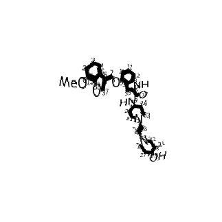 COc1cccc2c(COc3cccc4[nH]c(C(=O)NC5CCN(CCN6CC[C@H](O)[C@@H](C)C6)CC5)cc34)coc12